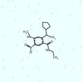 CCNC(=O)c1cc([N+](=O)[O-])c(NC)cc1N(C)C1CCCC1